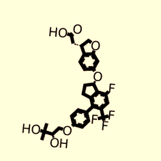 CC(C)(O)[C@H](O)COc1ccc(-c2c(C(F)(F)F)cc(F)c3c2CC[C@H]3Oc2ccc3c(c2)OC[C@H]3CC(=O)O)cc1